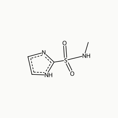 CNS(=O)(=O)c1ncc[nH]1